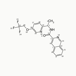 CC(NC(=O)c1cc2ccccc2cn1)c1ccc(OCC(F)(F)F)cn1